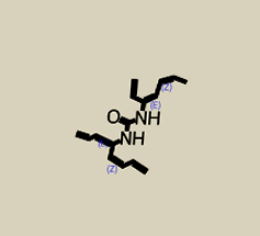 C=C/C=C\C(=C/C=C)NC(=O)N/C(C=C)=C/C=C\C